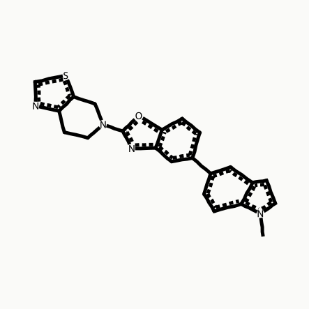 Cn1ccc2cc(-c3ccc4oc(N5CCc6ncsc6C5)nc4c3)ccc21